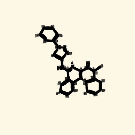 C[C@H](Nc1nc(Nc2cn(-c3ccccc3)cn2)c2ccccc2n1)c1ccccc1